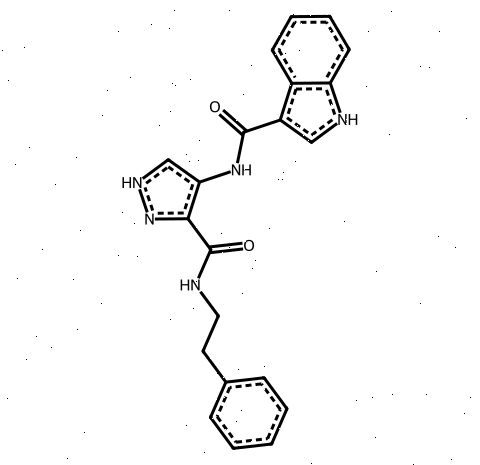 O=C(NCCc1ccccc1)c1n[nH]cc1NC(=O)c1c[nH]c2ccccc12